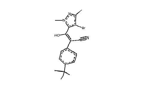 Cc1nn(C)c(C(O)=C(C#N)c2ccc(C(C)(C)C)cc2)c1Br